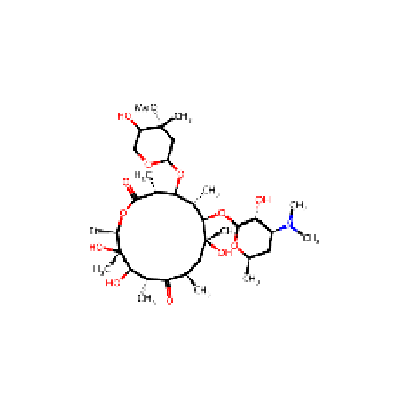 CC[C@H]1OC(=O)[C@H](C)[C@@H](OC2C[C@@](C)(OC)C(O)CO2)[C@H](C)[C@@H](OC2O[C@H](C)C[C@H](N(C)C)[C@H]2O)[C@](C)(O)C[C@@H](C)C(=O)[C@H](C)[C@@H](O)[C@]1(C)O